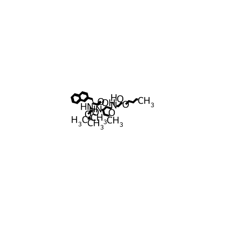 CCCCOC(=O)CNC(=O)C(O)C(CCC)NC(=O)[C@H](Cc1ccc2ccccc2c1)NC(=O)OC(C)(C)C